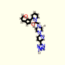 C[C@@H]1CN(c2ccc(-c3nnn(C)n3)cn2)C[C@H](C)N1CC(=O)N1CC=CCC1c1ccc2cccoc1-2